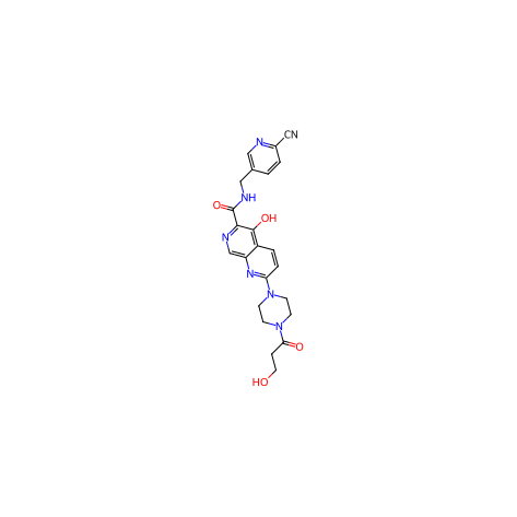 N#Cc1ccc(CNC(=O)c2ncc3nc(N4CCN(C(=O)CCO)CC4)ccc3c2O)cn1